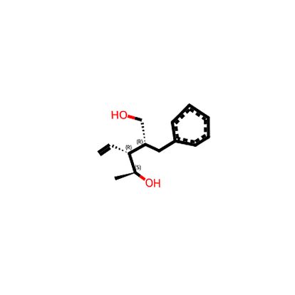 C=C[C@H]([C@H](CO)Cc1ccccc1)[C@H](C)O